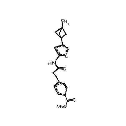 COC(=O)c1ccc(CC(=O)Nc2cc(C34CC(C)(C3)C4)no2)cc1